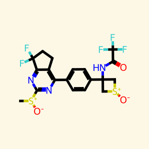 C[S+]([O-])c1nc(-c2ccc(C3(NC(=O)C(F)(F)F)C[S+]([O-])C3)cc2)c2c(n1)C(F)(F)CC2